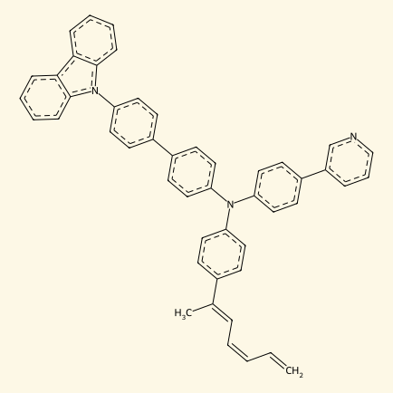 C=C/C=C\C=C(/C)c1ccc(N(c2ccc(-c3ccc(-n4c5ccccc5c5ccccc54)cc3)cc2)c2ccc(-c3cccnc3)cc2)cc1